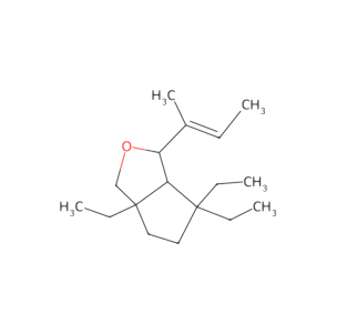 CC=C(C)C1OCC2(CC)CCC(CC)(CC)C12